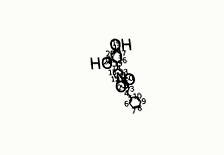 O=S(=O)(CCc1ccccc1)N1CCC(c2ccc(O)cc2O)C1